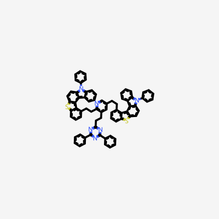 c1ccc(-c2nc(CCc3cc(CCc4cccc5sc6ccc7c(c8ccccc8n7-c7ccccc7)c6c45)cnc3CCc3cccc4sc5ccc6c(c7ccccc7n6-c6ccccc6)c5c34)nc(-c3ccccc3)n2)cc1